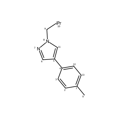 Cc1ccc(-c2cnn(CC(C)C)c2)cc1